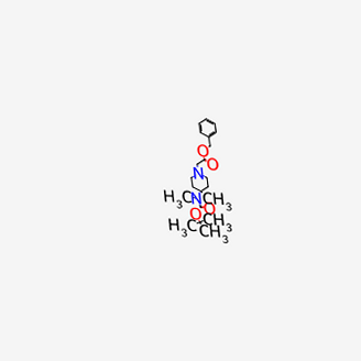 CN(C(=O)OC(C)(C)C)C1(C)CCN(CC(=O)OCc2ccccc2)CC1